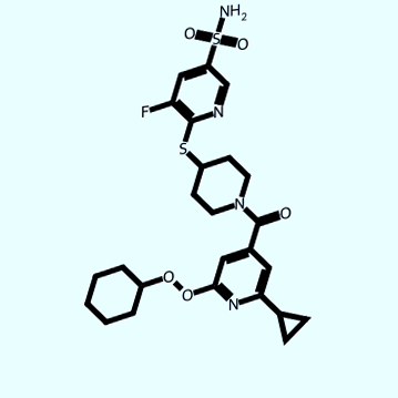 NS(=O)(=O)c1cnc(SC2CCN(C(=O)c3cc(OOC4CCCCC4)nc(C4CC4)c3)CC2)c(F)c1